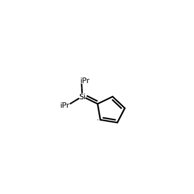 CC(C)[Si](=C1[C]=CC=C1)C(C)C